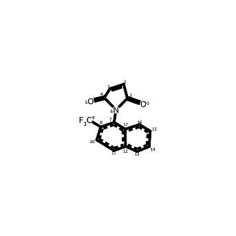 O=C1C=CC(=O)N1c1c(C(F)(F)F)ccc2ccccc12